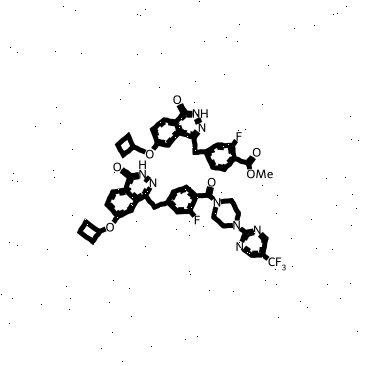 COC(=O)c1ccc(Cc2n[nH]c(=O)c3ccc(OC4CCC4)cc23)cc1F.O=C(c1ccc(Cc2n[nH]c(=O)c3ccc(OC4CCC4)cc23)cc1F)N1CCN(c2ncc(C(F)(F)F)cn2)CC1